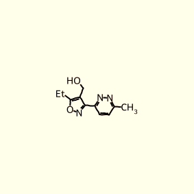 CCc1onc(-c2ccc(C)nn2)c1CO